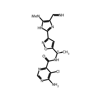 CNc1[nH]c(-c2cc([C@@H](C)NC(=O)c3ncnc(N)c3Cl)on2)nc1C=N